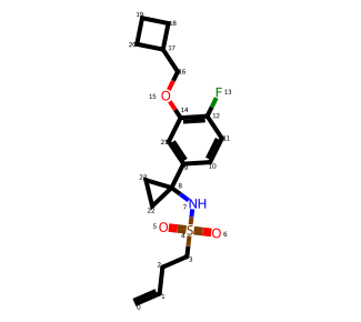 C=CCCS(=O)(=O)NC1(c2ccc(F)c(OCC3CCC3)c2)CC1